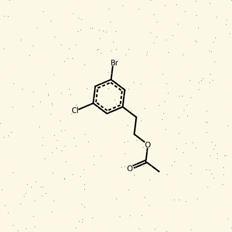 CC(=O)OCCc1cc(Cl)cc(Br)c1